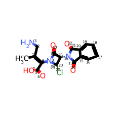 CC(CN)=C(C(=O)O)N1C(=O)[C@H](N2C(=O)c3ccccc3C2=O)[C@H]1Cl